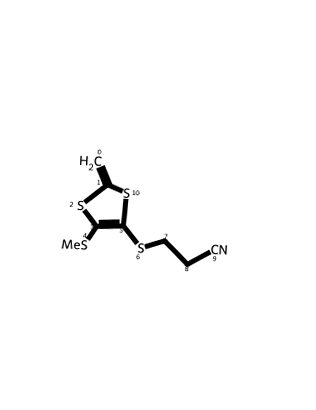 C=C1SC(SC)=C(SCCC#N)S1